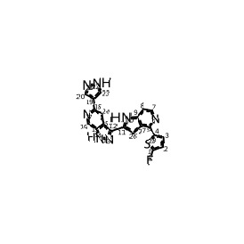 Fc1ccc(-c2nccc3[nH]c(-c4n[nH]c5cnc(-c6cn[nH]c6)cc45)cc23)s1